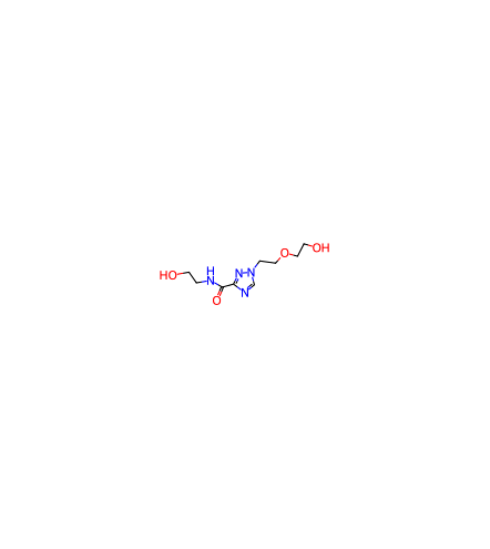 O=C(NCCO)c1ncn(CCOCCO)n1